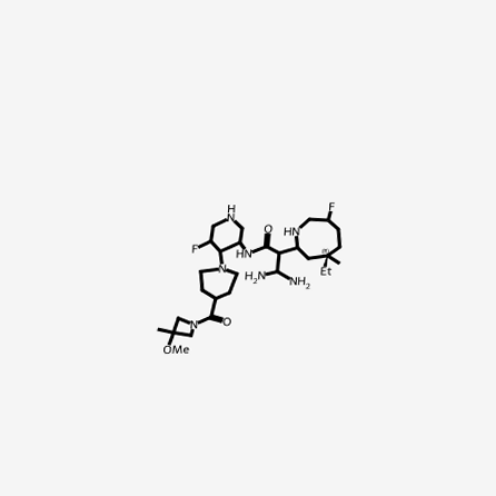 CC[C@]1(C)CCC(F)CNC(C(C(=O)NC2CNCC(F)C2N2CCC(C(=O)N3CC(C)(OC)C3)CC2)C(N)N)C1